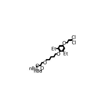 CCCCOC(COCCCCCOc1c(CC)cc(OCC=C(Cl)Cl)cc1CC)OCCCC